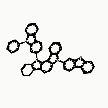 C1=Cc2c(c3ccc4c(c5ccccc5n4-c4ccc5c(c4)sc4ccccc45)c3n2-c2ccc3c4ccccc4n(-c4ccccc4)c3c2)CC1